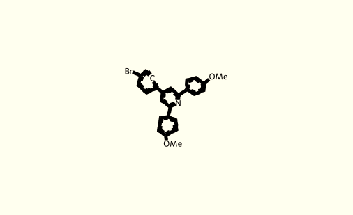 COc1ccc(-c2cc(-c3ccc(Br)cc3)cc(-c3ccc(OC)cc3)n2)cc1